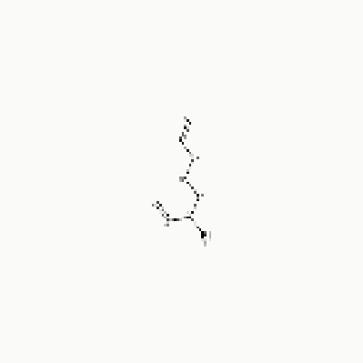 C=CCCCC(C=C)CC